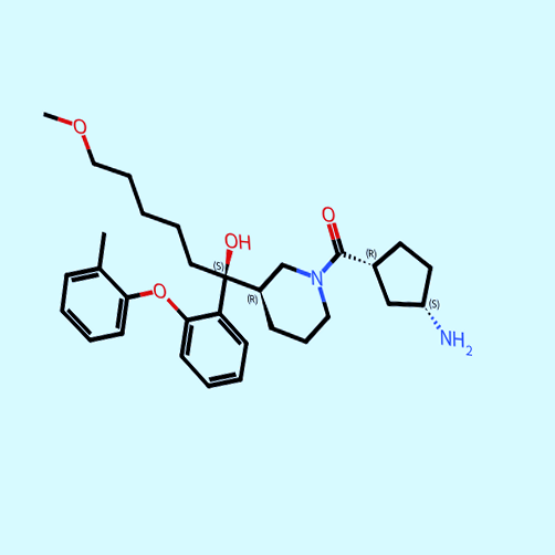 COCCCCC[C@@](O)(c1ccccc1Oc1ccccc1C)[C@@H]1CCCN(C(=O)[C@@H]2CC[C@H](N)C2)C1